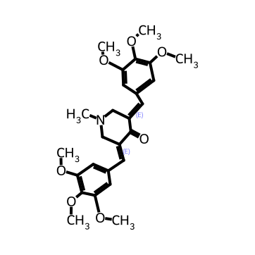 COc1cc(/C=C2\CN(C)C/C(=C\c3cc(OC)c(OC)c(OC)c3)C2=O)cc(OC)c1OC